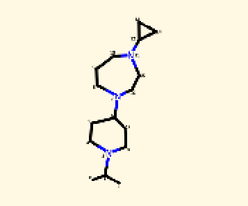 CC(C)N1CCC(N2CCCN(C3CC3)CC2)CC1